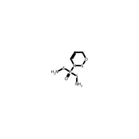 NSP(=O)(SN)N1C=CCOS1